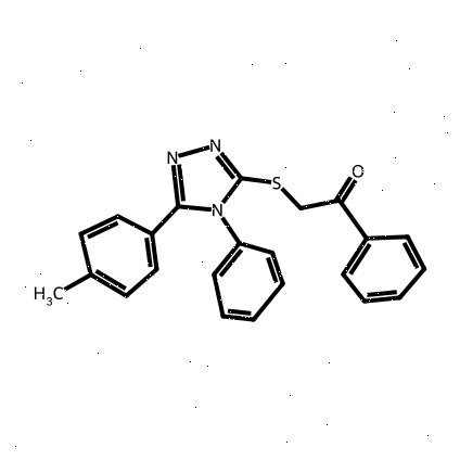 Cc1ccc(-c2nnc(SCC(=O)c3ccccc3)n2-c2ccccc2)cc1